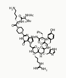 CC[C@H](C)[C@H](NC(C)=O)C(=O)N[C@@H](CCCCN)C(=O)N1CCN(c2nc3ccn(CC(=O)N[C@@H](CCCNC(=N)N)C(=O)N[C@@H](Cc4c[nH]cn4)C(=O)N[C@@H](Cc4ccc(O)cc4)C(=O)N[C@@H](CC(C)C)C(=O)NC)c3c(=O)[nH]2)CC1